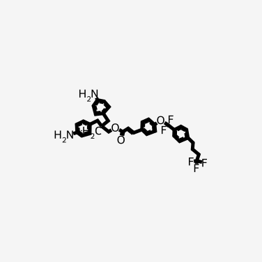 [CH2]C(COC(=O)/C=C/c1ccc(OC(F)(F)c2ccc(CCCC(F)(F)F)cc2)cc1)(Cc1ccc(N)cc1)Cc1ccc(N)cc1